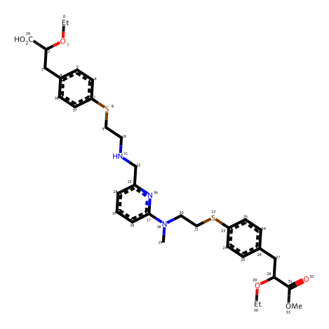 CCOC(Cc1ccc(SCCNCc2cccc(N(C)CCSc3ccc(CC(OCC)C(=O)OC)cc3)n2)cc1)C(=O)O